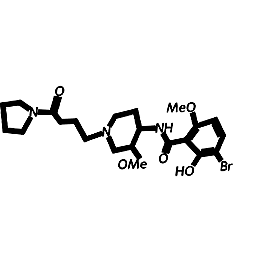 COc1ccc(Br)c(O)c1C(=O)NC1CCN(CCCC(=O)N2CCCC2)CC1OC